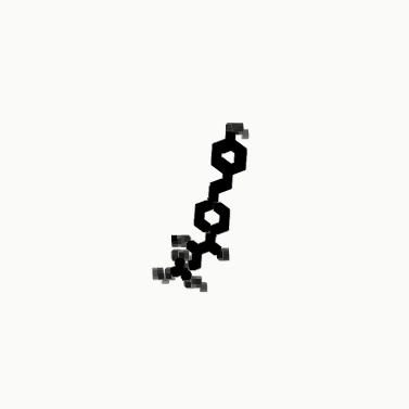 Cc1ccc(C=CN2CCN(C(Cl)C(O)C[N+](C)(C)C)CC2)cc1